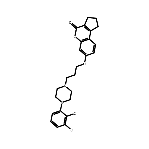 O=c1oc2cc(OCCCN3CCN(c4cccc(Cl)c4Cl)CC3)ccc2c2c1CCC2